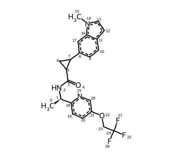 C[C@@H](NC(=O)C1CC1c1ccc2ccn(C)c2c1)c1ccc(OCC(F)(F)F)cn1